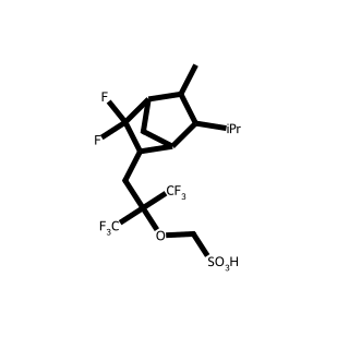 CC(C)C1C(C)C2CC1C(CC(OCS(=O)(=O)O)(C(F)(F)F)C(F)(F)F)C2(F)F